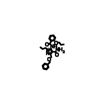 CCCOc1ccccc1C(=O)Nc1c(C(N)=O)c(COCc2ccccc2)nn1CCC